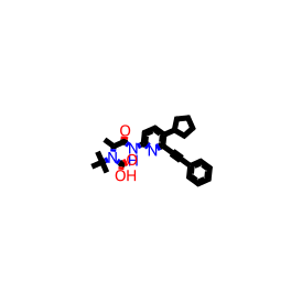 CC(C(=O)Nc1ccc(C2CCCC2)c(C#Cc2ccccc2)n1)N(C(=O)O)C(C)(C)C